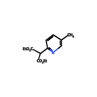 CCOC(=O)C(C(=O)OCC)c1ccc(C)cn1